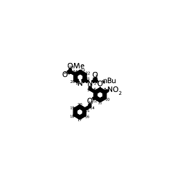 CCCCOC(=O)N(Cc1cc([N+](=O)[O-])ccc1OCc1ccccc1)c1ccc(C(=O)OC)cn1